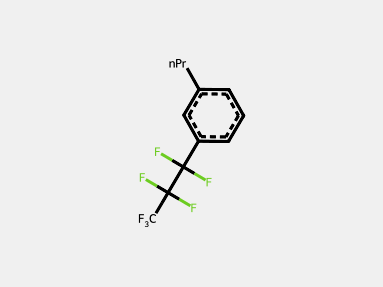 [CH2]CCc1cccc(C(F)(F)C(F)(F)C(F)(F)F)c1